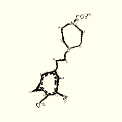 O=C(O)N1CCN(CCc2ccc(Cl)c(Br)c2)CC1